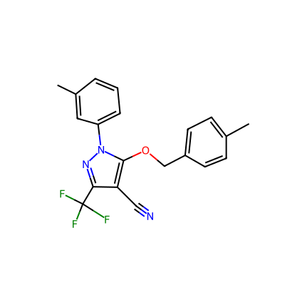 Cc1ccc(COc2c(C#N)c(C(F)(F)F)nn2-c2cccc(C)c2)cc1